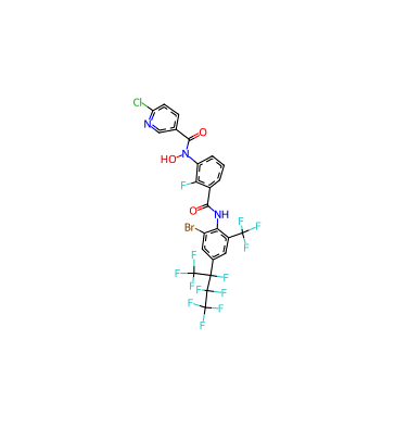 O=C(Nc1c(Br)cc(C(F)(C(F)(F)F)C(F)(F)C(F)(F)F)cc1C(F)(F)F)c1cccc(N(O)C(=O)c2ccc(Cl)nc2)c1F